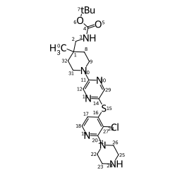 CC1(CNC(=O)OC(C)(C)C)CCN(c2cnc(Sc3ccnc(N4CCNCC4)c3Cl)cn2)CC1